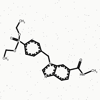 CCOP(=O)(OCC)c1ccc(Cn2cnc3ccc(C(=O)NC)cc32)cc1